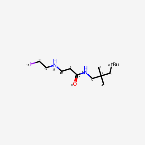 CC(C)(C)CC(C)(C)CNC(=O)CCNCCI